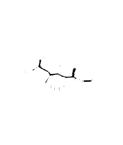 NNC(=O)[C@H](O)[C@@H](O)[C@@H](O)[C@H](O)C=O